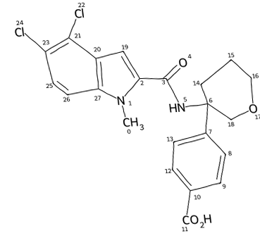 Cn1c(C(=O)NC2(c3ccc(C(=O)O)cc3)CCCOC2)cc2c(Cl)c(Cl)ccc21